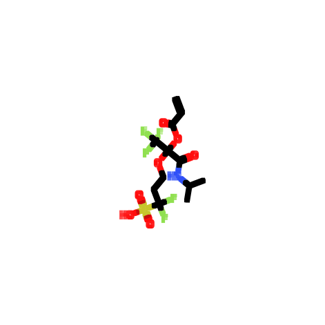 C=CC(=O)OC(OCCC(F)(F)S(=O)(=O)O)(C(=O)NC(C)C)C(F)(F)F